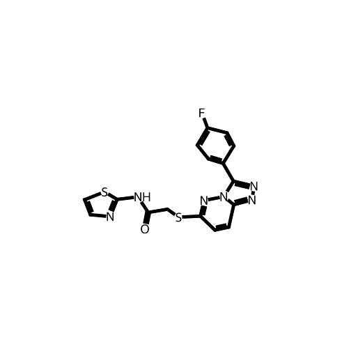 O=C(CSc1ccc2nnc(-c3ccc(F)cc3)n2n1)Nc1nccs1